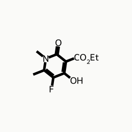 CCOC(=O)c1c(O)c(F)c(C)n(C)c1=O